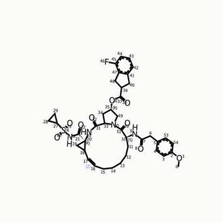 COc1ccc(CC(=O)N[C@H]2CCCCC/C=C\C3C[C@@]3(C(=O)NS(=O)(=O)C3CC3)NC(=O)C3C[C@@H](OC(=O)C4Cc5cccc(F)c5C4)CN3C2=O)cc1